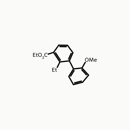 CCOC(=O)c1cccc(-c2ccccc2OC)c1CC